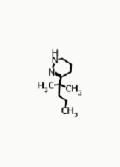 CCCC(C)(C)C1=NNCCC1